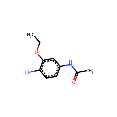 CCOc1cc(NC(C)=O)ccc1N